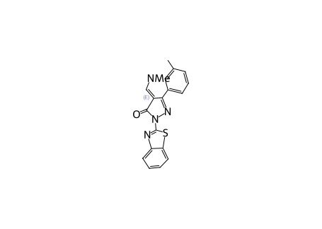 CN/C=C1/C(=O)N(c2nc3ccccc3s2)N=C1c1cccc(C)c1